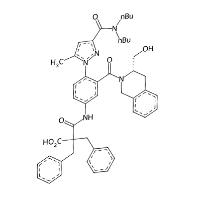 CCCCN(CCCC)C(=O)c1cc(C)n(-c2ccc(NC(=O)C(Cc3ccccc3)(Cc3ccccc3)C(=O)O)cc2C(=O)N2Cc3ccccc3C[C@H]2CO)n1